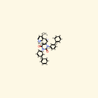 Cc1ccncc1/C=C\c1c(C)c(=O)n(-c2cccc(-c3ccccc3)c2)c(=O)n1-c1cccc(-c2ccccc2)c1